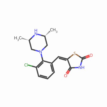 C[C@@H]1CN(c2c(Cl)cccc2C=C2SC(=O)NC2=O)C[C@H](C)N1